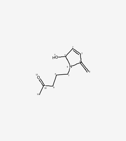 C=C1C=CC(O)N1CCCC(C)=O